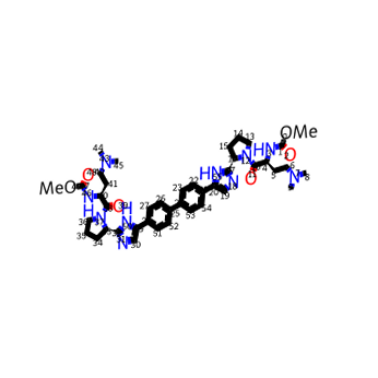 COC(=O)N[C@@H](CCN(C)C)C(=O)N1CCC[C@H]1c1ncc(-c2ccc(-c3ccc(-c4cnc([C@@H]5CCCN5C(=O)[C@H](CCN(C)C)NC(=O)OC)[nH]4)cc3)cc2)[nH]1